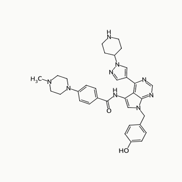 CN1CCN(c2ccc(C(=O)Nc3cn(Cc4ccc(O)cc4)c4ncnc(-c5cnn(C6CCNCC6)c5)c34)cc2)CC1